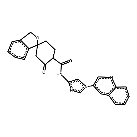 O=C1CC2(CCC1C(=O)Nc1cn(-c3cnc4ccccc4c3)cn1)OCc1ccccc12